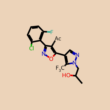 CC(=O)c1c(-c2c(F)cccc2Cl)noc1-c1cnn(CC(C)O)c1C(F)(F)F